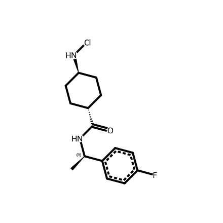 C[C@@H](NC(=O)[C@H]1CC[C@H](NCl)CC1)c1ccc(F)cc1